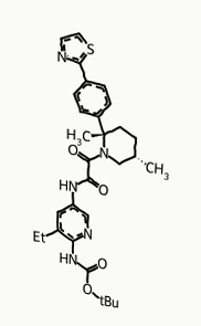 CCc1cc(NC(=O)C(=O)N2C[C@@H](C)CC[C@@]2(C)c2ccc(-c3nccs3)cc2)cnc1NC(=O)OC(C)(C)C